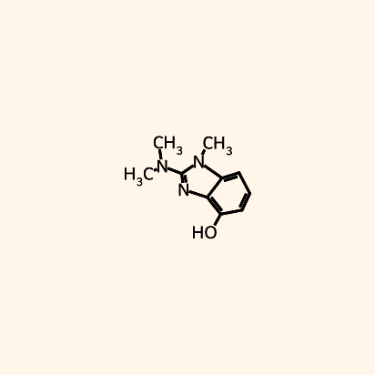 CN(C)c1nc2c(O)cccc2n1C